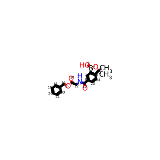 CC1(C)OB(O)c2cc(C(=O)NCC(=O)OCc3ccccc3)ccc21